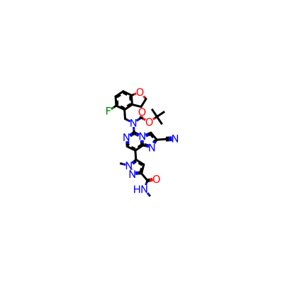 CNC(=O)c1cc(-c2cnc(N(Cc3c(F)ccc4c3CCO4)C(=O)OC(C)(C)C)n3cc(C#N)nc23)n(C)n1